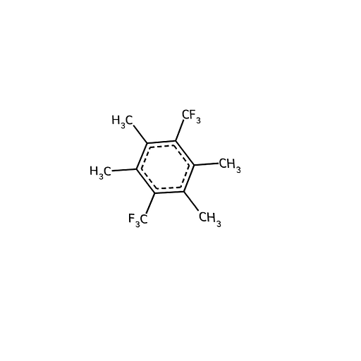 Cc1c(C)c(C(F)(F)F)c(C)c(C)c1C(F)(F)F